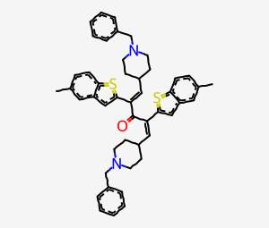 Cc1ccc2sc(C(=CC3CCN(Cc4ccccc4)CC3)C(=O)C(=CC3CCN(Cc4ccccc4)CC3)c3cc4cc(C)ccc4s3)cc2c1